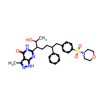 Cc1n[nH]c2nc(C(CCC(Cc3ccc(S(=O)(=O)N4CCOCC4)cc3)c3ccccc3)C(C)O)[nH]c(=O)c12